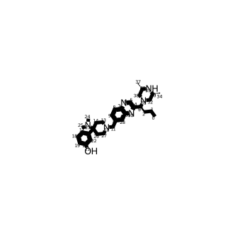 CCC[C@@H](c1cnc2ccc(CN3CCC(c4cccc(O)c4)(N(C)C)CC3)cc2n1)N1C[C@@H](C)N[C@@H](C)C1